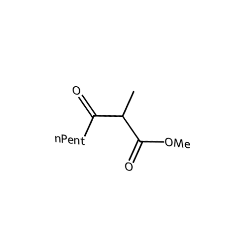 CCCCCC(=O)C(C)C(=O)OC